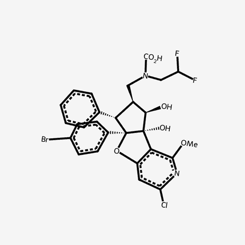 COc1nc(Cl)cc2c1[C@]1(O)[C@H](O)[C@H](CN(CC(F)F)C(=O)O)[C@@H](c3ccccc3)[C@]1(c1ccc(Br)cc1)O2